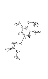 COc1nc(CNC(=O)OC(C)(C)C)cc(C)c1CN